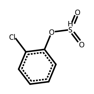 O=[SH](=O)Oc1ccccc1Cl